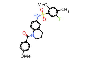 COc1ccc(C(=O)N2CCCc3cc(NS(=O)(=O)c4cc(F)c(C)cc4OC)ccc32)cc1